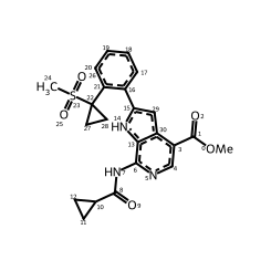 COC(=O)c1cnc(NC(=O)C2CC2)c2[nH]c(-c3ccccc3C3(S(C)(=O)=O)CC3)cc12